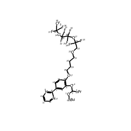 CCCCOC(CCC)Oc1cc(-c2ncccn2)ccc1OCCCCOCC(F)(F)OC(F)(F)C(F)(F)OC(F)(F)C(F)(F)F